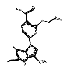 COCOc1cc(-n2cc(C#N)c3sc(C)c(C)c32)ccc1C(=O)OC